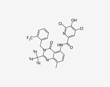 [2H]C([2H])([2H])c1nc2c(C)ccc(NC(=O)c3cc(Cl)c(O)c(Cl)n3)c2c(=O)n1Cc1ccccc1C(F)(F)F